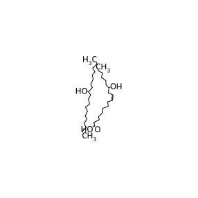 CCCCCCC(O)C/C=C\CCCCCCCC(=O)O.CCCCCCCCCCCC(O)CCCCCCCC